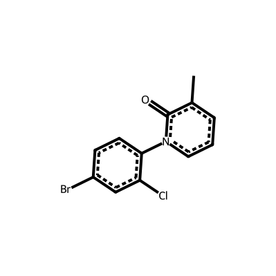 Cc1cccn(-c2ccc(Br)cc2Cl)c1=O